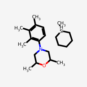 C[SiH]1CCCCC1.Cc1ccc(N2CC(C)OC(C)C2)c(C)c1C